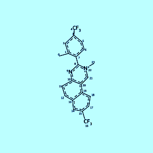 Cc1cc(C(F)(F)F)ccc1-c1nc2ccc3cc(C(F)(F)F)ccc3c2c[n+]1C